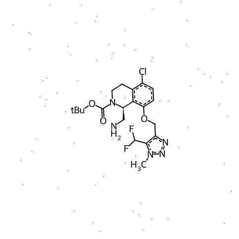 Cn1nnc(COc2ccc(Cl)c3c2[C@@H](CN)N(C(=O)OC(C)(C)C)CC3)c1C(F)F